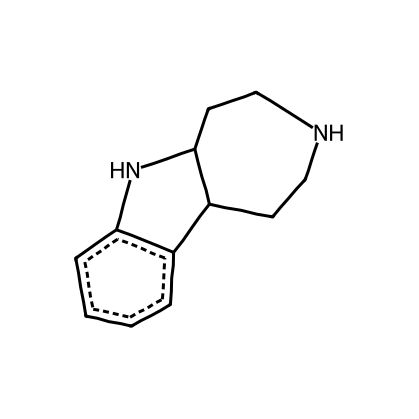 c1ccc2c(c1)NC1CCNCCC21